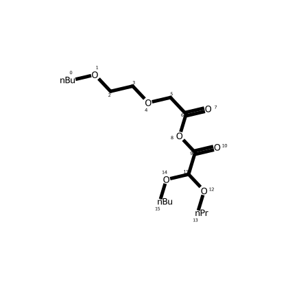 CCCCOCCOCC(=O)OC(=O)C(OCCC)OCCCC